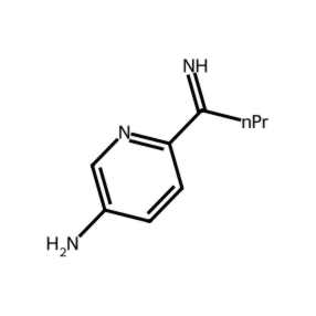 C[CH]CC(=N)c1ccc(N)cn1